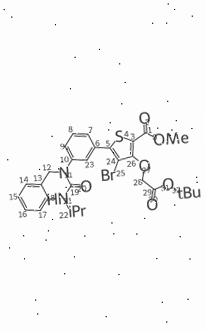 COC(=O)c1sc(-c2cccc(N(Cc3ccccc3)C(=O)NC(C)C)c2)c(Br)c1OCC(=O)OC(C)(C)C